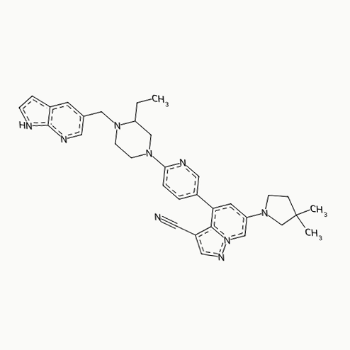 CCC1CN(c2ccc(-c3cc(N4CCC(C)(C)C4)cn4ncc(C#N)c34)cn2)CCN1Cc1cnc2[nH]ccc2c1